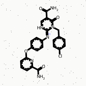 NC(=O)c1cccc(Oc2ccc(/N=c3\[nH]cc(C(N)=O)c(=O)n3Cc3ccc(Cl)cc3)cc2)n1